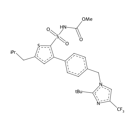 COC(=O)NS(=O)(=O)c1sc(CC(C)C)cc1-c1ccc(Cn2cc(C(F)(F)F)nc2C(C)(C)C)cc1